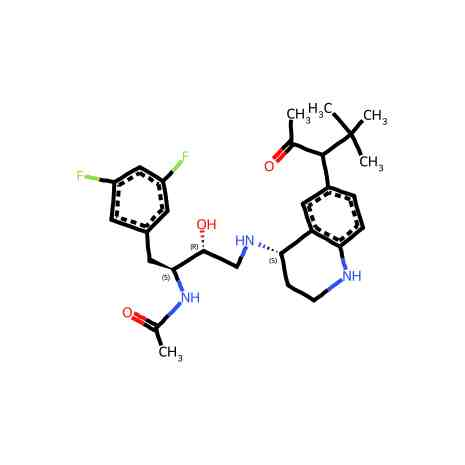 CC(=O)N[C@@H](Cc1cc(F)cc(F)c1)[C@H](O)CN[C@H]1CCNc2ccc(C(C(C)=O)C(C)(C)C)cc21